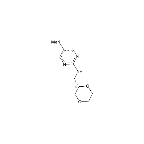 CNc1cnc(NC[C@H]2COCCO2)nc1